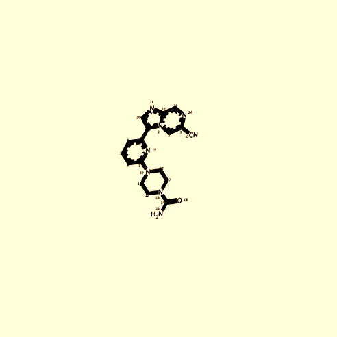 N#Cc1cn2c(-c3cccc(N4CCN(C(N)=O)CC4)n3)cnc2cn1